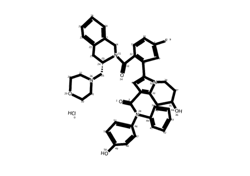 Cl.O=C(c1cc(-c2cc(F)ccc2C(=O)N2Cc3ccccc3C[C@H]2CN2CCOCC2)n2c1CC(O)CC2)N(c1ccccc1)c1ccc(O)cc1